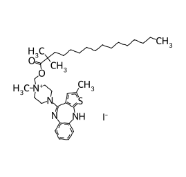 CCCCCCCCCCCCCCC(C)(C)C(=O)OC[N+]1(C)CCN(C2=Nc3ccccc3Nc3sc(C)cc32)CC1.[I-]